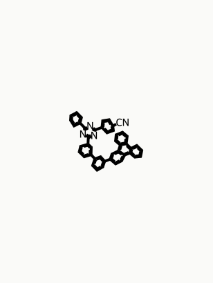 N#Cc1ccc(-c2nc(-c3ccccc3)nc(-c3cccc(-c4cccc(-c5ccc6c7ccccc7c7ccccc7c6c5)c4)c3)n2)cc1